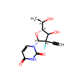 C#C[C@@]1(F)C(O)[C@@H]([C@@H](C)O)O[C@H]1n1ccc(=O)[nH]c1=O